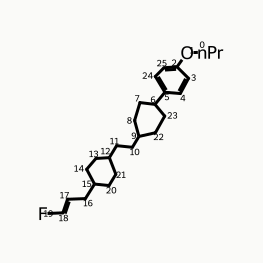 CCCOc1ccc(C2CCC(CCC3CCC(CC=CF)CC3)CC2)cc1